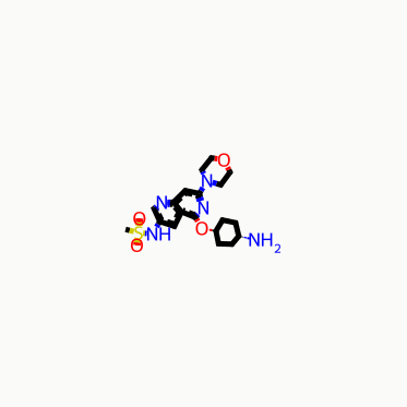 CS(=O)(=O)Nc1cnc2cc(N3CCOCC3)nc(O[C@H]3CC[C@@H](N)CC3)c2c1